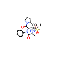 CC(NS(C)(=O)=O)C(=O)N(c1ccccc1)C(C(=O)N1CCCC1C(=O)O)C(C)(C)C